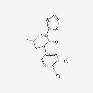 CC(C)SC(C(=O)Nc1nccs1)c1ccc(Cl)c(Cl)c1